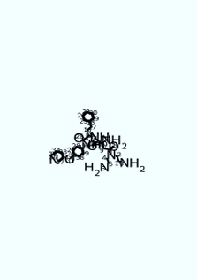 NCCN(CCN)C(=O)C[C@H](N)C(=O)N[C@@H](CCc1ccccc1)C(=O)Nc1ccc(Oc2cccnc2)cc1